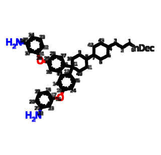 CCCCCCCCCCCCCC1CCC(C2CCC(c3ccc(Oc4cccc(N)c4)cc3)(c3ccc(Oc4cccc(N)c4)cc3)CC2)CC1